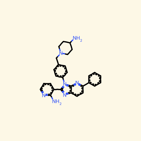 Nc1ncccc1-c1nc2ccc(-c3ccccc3)nc2n1-c1ccc(CN2CCC(N)CC2)cc1